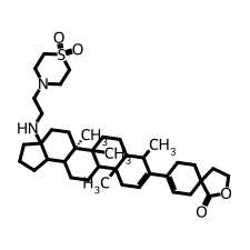 CC1C(C2=CCC3(CCOC3=O)CC2)=CCC2(C)C1CCC1(C)C2CCC2C3CCCC3(NCCN3CCS(=O)(=O)CC3)CC[C@]21C